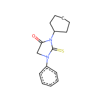 O=C1CN(c2ccccc2)C(=S)N1C1CCCCC1